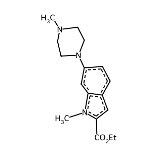 CCOC(=O)c1cc2ccc(N3CCN(C)CC3)cc2n1C